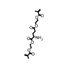 C=C(C)C(=O)OCCOC(=O)CC[C@H](N)C(=O)OCCOC(=O)C(=C)C